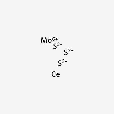 [Ce].[Mo+6].[S-2].[S-2].[S-2]